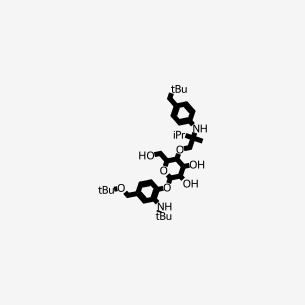 CC(C)C(C)(COC1C(CO)OC(Oc2ccc(COC(C)(C)C)cc2NC(C)(C)C)C(O)C1O)Nc1ccc(CC(C)(C)C)cc1